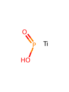 O=PO.[Ti]